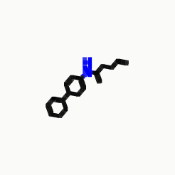 C=CCCC(=C)NC1=CCC(C2=CC=CCC2)C=C1